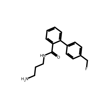 NCCCNC(=O)c1ccccc1-c1ccc(CF)cc1